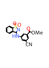 COC(=O)c1cc(C#N)cc(NC2=NS(=O)(=O)c3ccccc32)c1